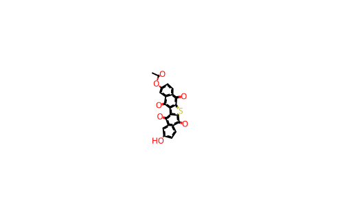 CC(=O)Oc1ccc2c(=O)c3sc4c(=O)c5ccc(O)cc5c(=O)c4c3c(=O)c2c1